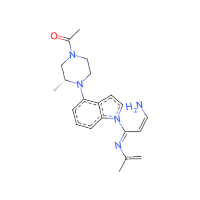 C=C(C)/N=C(\C=C/N)n1ccc2c(N3CCN(C(C)=O)C[C@H]3C)cccc21